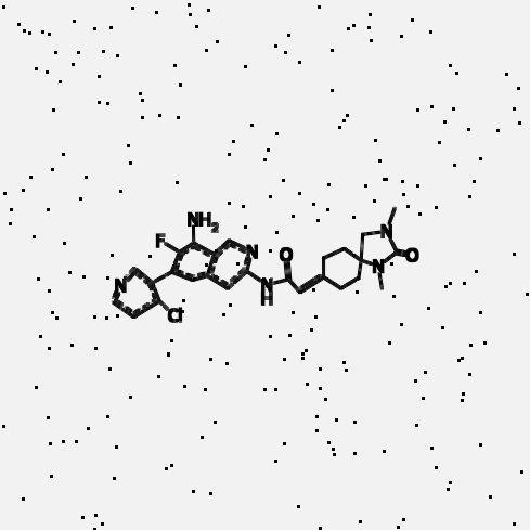 CN1CC2(CCC(=CC(=O)Nc3cc4cc(-c5cnccc5Cl)c(F)c(N)c4cn3)CC2)N(C)C1=O